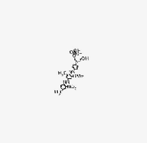 COc1cc(N=Nc2ccc(C)cc2[N+](=O)[O-])cc(C)c1N=Nc1ccc(N(CCO)CCOP(=O)(O)O)cc1